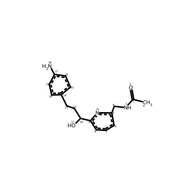 CC(=O)NCc1cccc(C(O)CCc2ccc(N)cc2)n1